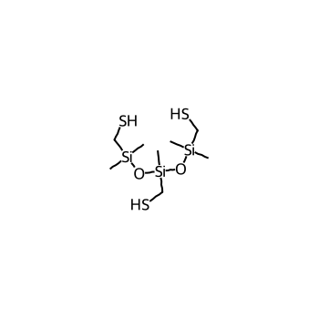 C[Si](C)(CS)O[Si](C)(CS)O[Si](C)(C)CS